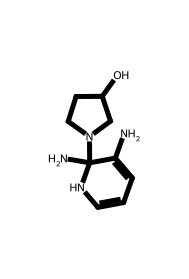 NC1=CC=CNC1(N)N1CCC(O)C1